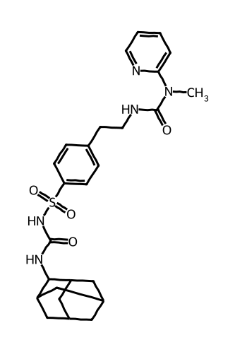 CN(C(=O)NCCc1ccc(S(=O)(=O)NC(=O)NC2C3CC4CC(C3)CC2C4)cc1)c1ccccn1